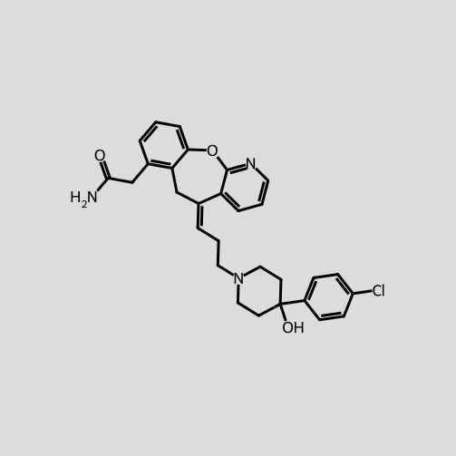 NC(=O)Cc1cccc2c1C/C(=C/CCN1CCC(O)(c3ccc(Cl)cc3)CC1)c1cccnc1O2